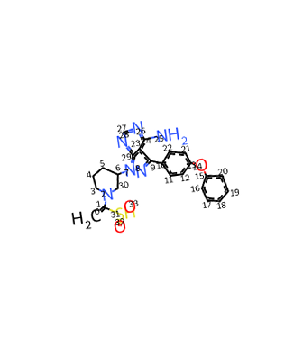 C=C(N1CCCC(n2nc(-c3ccc(Oc4ccccc4)cc3)c3c(N)ncnc32)C1)[SH](=O)=O